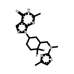 Cc1csc(N(C)CC2CC(n3ncc4c(=O)[nH]c(C)nc43)CCC2(F)F)n1